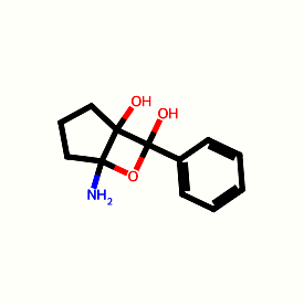 NC12CCCC1(O)C(O)(c1ccccc1)O2